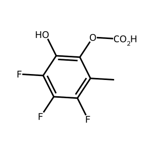 Cc1c(F)c(F)c(F)c(O)c1OC(=O)O